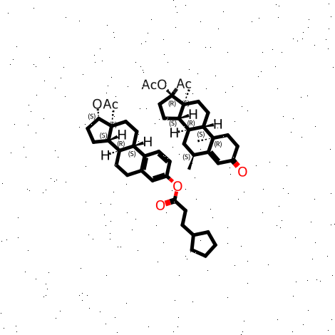 CC(=O)O[C@H]1CC[C@H]2[C@@H]3CCc4cc(OC(=O)CCC5CCCC5)ccc4[C@H]3CC[C@]12C.CC(=O)O[C@]1(C(C)=O)CC[C@H]2[C@@H]3C[C@H](C)C4=CC(=O)CC[C@]4(C)[C@H]3CC[C@@]21C